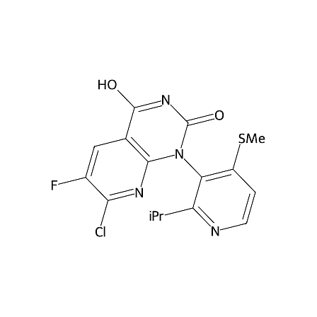 CSc1ccnc(C(C)C)c1-n1c(=O)nc(O)c2cc(F)c(Cl)nc21